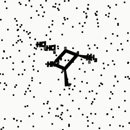 C[C@H]1NC[C@@H]1N.Cl.Cl